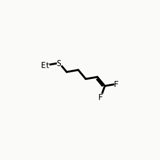 [CH2]CSCCCC=C(F)F